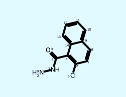 NNC(=O)c1c(Cl)ccc2ccccc12